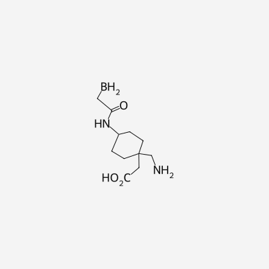 BCC(=O)NC1CCC(CN)(CC(=O)O)CC1